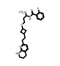 O=C(NC(CCOC1CC(CCc2ccc3c(n2)NCCC3)C1)C(=O)O)c1ccccc1F